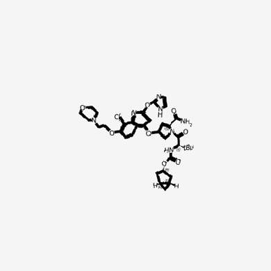 CC(C)(C)[C@H](NC(=O)O[C@@H]1C[C@@H]2C[C@@H]2C1)C(=O)N1CC(Oc2cc(Oc3ncc[nH]3)nc3c(Cl)c(OCCN4CCOCC4)ccc23)C[C@H]1C(N)=O